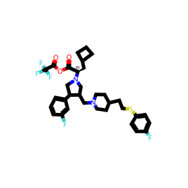 O=C(OC(=O)C(F)(F)F)[C@@H](CC1CCC1)N1CC(CN2CCC(CCSc3ccc(F)cc3)CC2)C(c2cccc(F)c2)C1